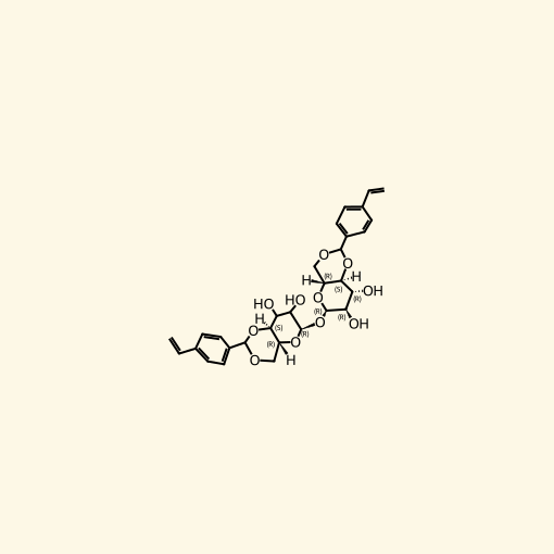 C=Cc1ccc(C2OC[C@H]3O[C@H](O[C@H]4O[C@@H]5COC(c6ccc(C=C)cc6)O[C@H]5C(O)C4O)[C@H](O)[C@@H](O)[C@@H]3O2)cc1